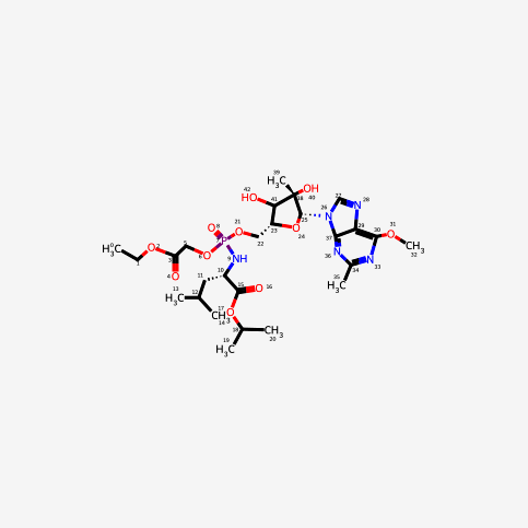 CCOC(=O)COP(=O)(N[C@@H](CC(C)C)C(=O)OC(C)C)OC[C@H]1O[C@@H](n2cnc3c(OC)nc(C)nc32)[C@@](C)(O)C1O